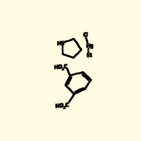 C1CCNC1.C[CH2][Hg][Cl].O=C(O)c1cccc(C(=O)O)c1